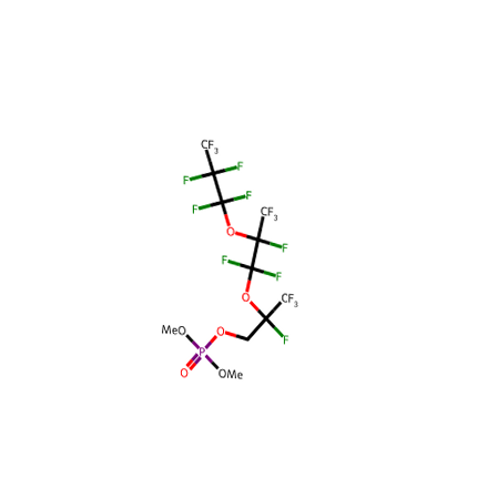 COP(=O)(OC)OCC(F)(OC(F)(F)C(F)(OC(F)(F)C(F)(F)C(F)(F)F)C(F)(F)F)C(F)(F)F